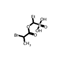 CCC(OC(=O)C(C)Br)P(=O)(O)O